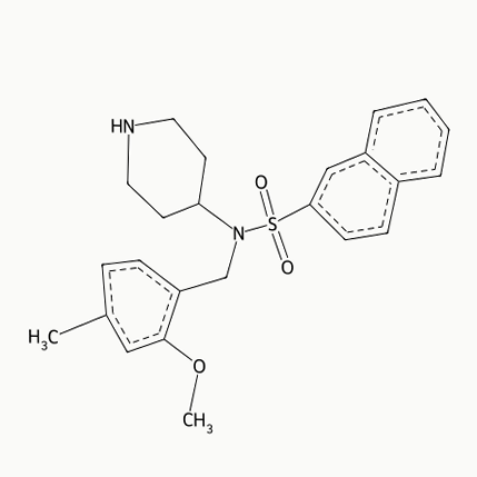 COc1cc(C)ccc1CN(C1CCNCC1)S(=O)(=O)c1ccc2ccccc2c1